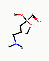 CO[Si](C=O)(CCCN(C)C)OC